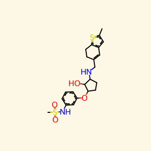 Cc1cc2c(s1)CCC(CNC1CCC(Oc3cccc(NS(C)(=O)=O)c3)C1O)=C2